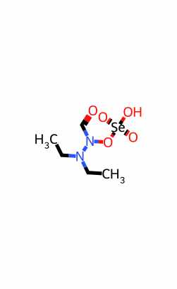 CCN(CC)N(C=O)O[Se](=O)(=O)O